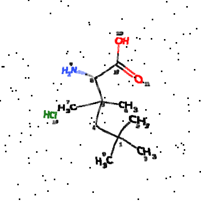 CC(C)(C)CC(C)(C)[C@H](N)C(=O)O.Cl